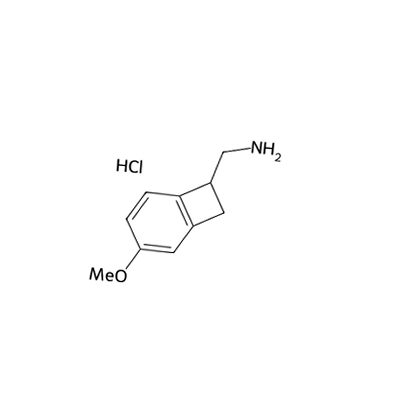 COc1ccc2c(c1)CC2CN.Cl